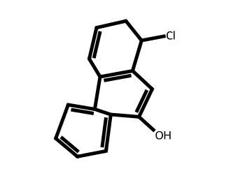 Oc1cc2c(c3ccccc13)C=CCC2Cl